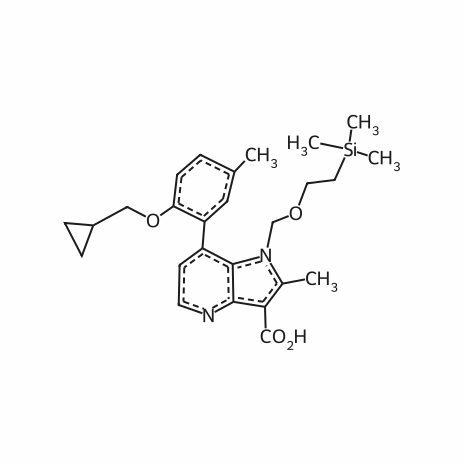 Cc1ccc(OCC2CC2)c(-c2ccnc3c(C(=O)O)c(C)n(COCC[Si](C)(C)C)c23)c1